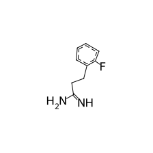 N=C(N)CCc1ccccc1F